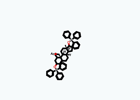 CC(=O)OC[C@@]12C(=CC(O[Si](c3ccccc3)(c3ccccc3)c3ccccc3)CC1C)CC[C@@H]1[C@H]2CC[C@]2(C)C(O[Si](c3ccccc3)(c3ccccc3)c3ccccc3)CC[C@@H]12